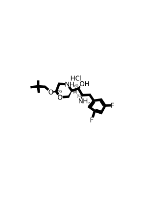 CC(C)(C)CO[C@H]1CN[C@@H]([C@@H](O)[C@@H](N)Cc2cc(F)cc(F)c2)CO1.Cl